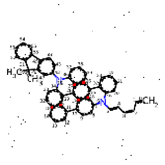 C=C/C=C\C=C\N(c1ccc(-c2ccccc2)cc1)c1ccccc1-c1ccc(-c2ccccc2N(c2ccccc2)c2ccc3c(c2)C(C)(C)c2ccccc2-3)cc1